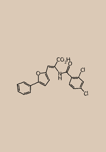 O=C(O)C(=Cc1ccc(-c2ccccc2)o1)NC(=O)c1ccc(Cl)cc1Cl